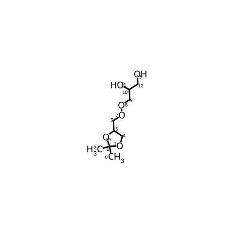 CC1(C)OCC(COOCC(O)CO)O1